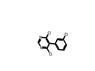 Clc1cccc(-c2c(Cl)ncnc2Cl)c1